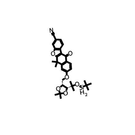 CC1(C)O[C@@H](C(C)(C)O[SiH2]C(C)(C)C)[C@@H](COc2ccc3c(c2)C(C)(C)c2oc4cc(C#N)ccc4c2C3=O)O1